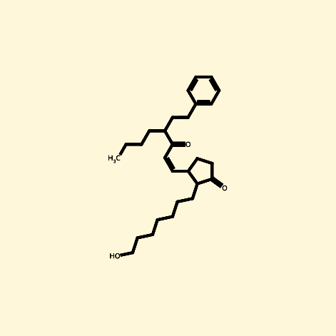 CCCCC(CCc1ccccc1)C(=O)/C=C\C1CCC(=O)C1CCCCCCCO